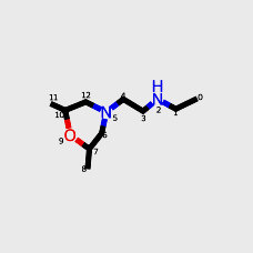 CCNCCN1CC(C)OC(C)C1